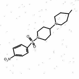 CC1CCN(C2CCN(S(=O)(=O)c3ccc([N+](=O)[O-])cc3)CC2)CC1